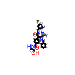 CC(CO)NC(=O)c1ccc2c(C(=O)NCc3cncc(F)c3)c(C(C)C)n(Cc3ccccc3)c2c1